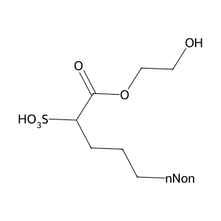 CCCCCCCCCCCCC(C(=O)OCCO)S(=O)(=O)O